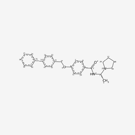 CC(NC(=O)c1ccc(OCc2ccc(-c3ccccc3)cc2)cc1)N1CCCC1